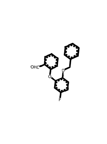 O=Cc1ccccc1Oc1cc(F)ccc1OCc1ccccc1